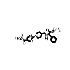 COC(=O)[C@@H](NCC1CCN(c2ncc(C(=O)NO)cn2)CC1)c1ccccc1